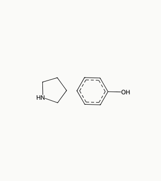 C1CCNC1.Oc1ccccc1